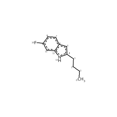 CCCCc1cc2ccc(F)cc2[nH]1